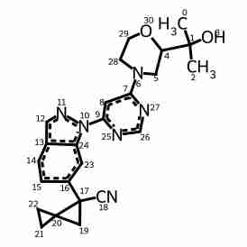 CC(C)(O)C1CN(c2cc(-n3ncc4ccc(C5(C#N)CC56CC6)cc43)ncn2)CCO1